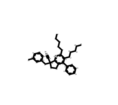 CCCCCc1nc2c(c(-c3ccccc3)c1CCCCC)CCC2(C#N)Cc1cccc(C)c1